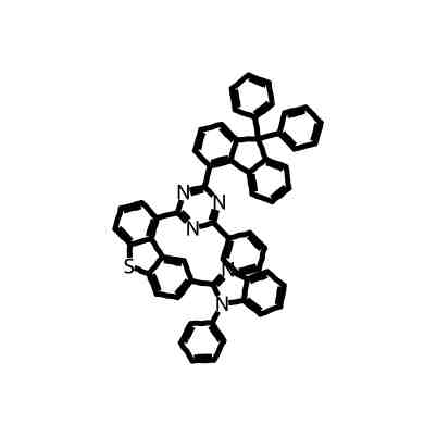 c1ccc(-c2nc(-c3cccc4c3-c3ccccc3C4(c3ccccc3)c3ccccc3)nc(-c3cccc4sc5ccc(-c6nc7ccccc7n6-c6ccccc6)cc5c34)n2)cc1